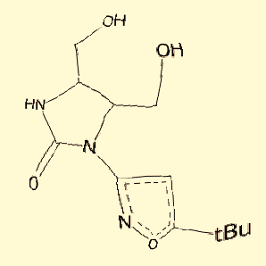 CC(C)(C)c1cc(N2C(=O)NC(CO)C2CO)no1